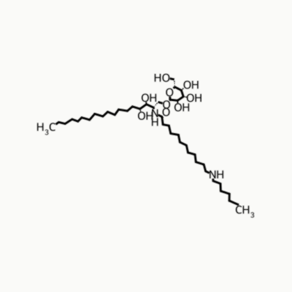 CCCCCCCCCCCCCC[C@@H](O)[C@@H](O)[C@H](CO[C@H]1O[C@H](CO)[C@H](O)[C@H](O)[C@H]1O)NC(=O)CCCCCCCCCCCNCCCCCCC